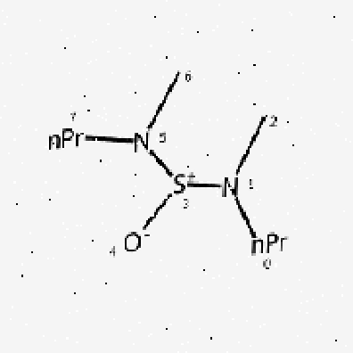 CCCN(C)[S+]([O-])N(C)CCC